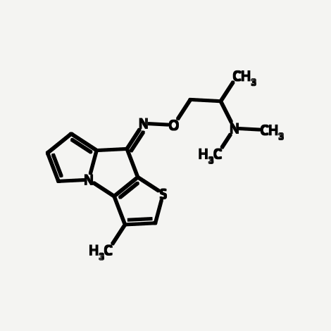 Cc1csc2c1-n1cccc1C2=NOCC(C)N(C)C